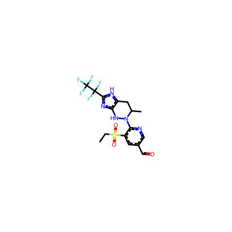 CCS(=O)(=O)c1cc(C=O)cnc1N1Nc2nc(C(F)(F)C(F)(F)F)[nH]c2CC1C